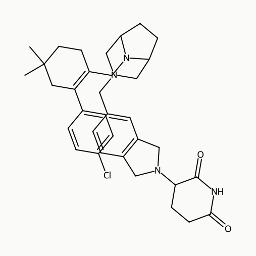 CC1(C)CCC(CN2C3CCC2CN(Cc2ccc4c(c2)CN(C2CCC(=O)NC2=O)C4)C3)=C(c2ccc(Cl)cc2)C1